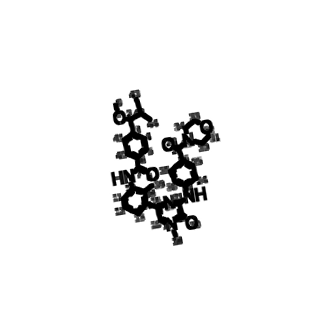 COC(c1ccc(C(=O)Nc2cccc(-c3cn(C)c(=O)c(Nc4ccc(C(=O)N5CCOCC5)cc4)n3)c2C)cc1)C(C)C